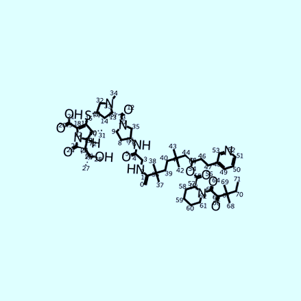 C=C(NCC(=O)N[C@H]1CCN(C(=O)[C@@H]2C[C@H](SC3=C(C(=O)O)N4C(=O)[C@H]([C@@H](C)O)[C@H]4[C@H]3C)CN2C)C1)C(C)(C)CCC(C)(C)C[C@@H](CCc1cccnc1)OC(=O)[C@@H]1CCCCN1C(=O)C(=O)C(C)(C)CC